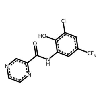 O=C(Nc1cc(C(F)(F)F)cc(Cl)c1O)c1cnccn1